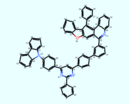 c1ccc(-c2nc(-c3ccc(-c4cccc(-c5nc6ccccc6c6c(-c7ccccc7)c7c(cc56)oc5ccccc57)c4)cc3)cc(-c3ccc(-n4c5ccccc5c5ccccc54)cc3)n2)cc1